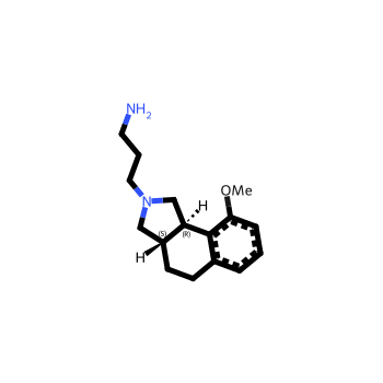 COc1cccc2c1[C@@H]1CN(CCCN)C[C@H]1CC2